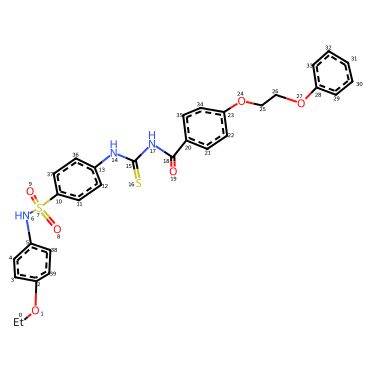 CCOc1ccc(NS(=O)(=O)c2ccc(NC(=S)NC(=O)c3ccc(OCCOc4ccccc4)cc3)cc2)cc1